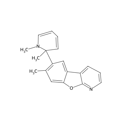 Cc1cc2oc3ncccc3c2cc1C1(C)C=CC=CN1C